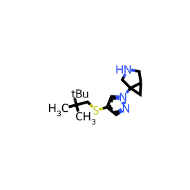 CC(C)(C)C(C)(C)CSc1cnn(C23CNCC2C3)c1